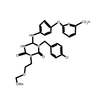 COCOCCN1C(=O)NC(Nc2ccc(Oc3cccc(C(=O)O)n3)cc2)N(Cc2ccc(Cl)cc2)C1=O